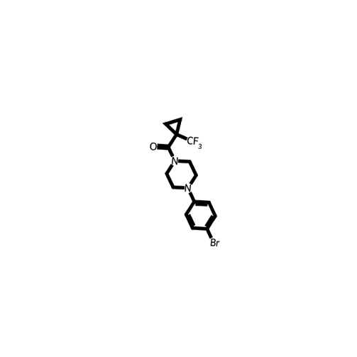 O=C(N1CCN(c2ccc(Br)cc2)CC1)C1(C(F)(F)F)CC1